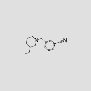 CCC1CCCN(Cc2cccc(C#N)c2)C1